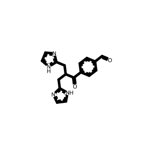 O=Cc1ccc(C(=O)C(Cc2ncc[nH]2)Cc2ncc[nH]2)cc1